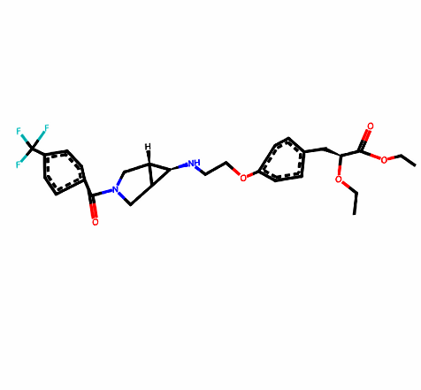 CCOC(=O)[C@H](Cc1ccc(OCCN[C@H]2C3CN(C(=O)c4ccc(C(F)(F)F)cc4)C[C@@H]32)cc1)OCC